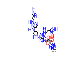 CCn1nnc([C@H]2O[C@@H](n3cnc4c(N[C@H]5CC[C@H](Nc6ccnc(NCCc7c[nH]cn7)n6)CC5)nc(NCCc5c[nH]cn5)nc43)[C@H](O)[C@@H]2O)n1